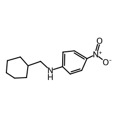 O=[N+]([O-])c1ccc(NCC2CCCCC2)cc1